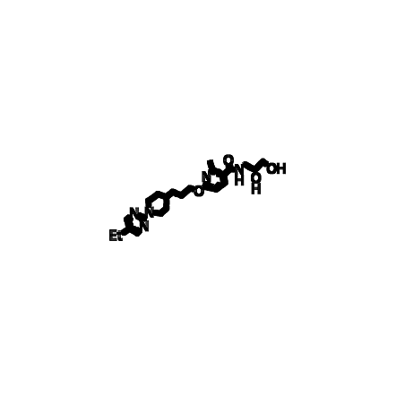 CCc1cnc(N2CCC(CCCOc3ccc(C(=O)NC[C@H](O)CO)c(C)n3)CC2)nc1